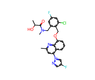 Cc1cc(-n2cc(F)cn2)c2cccc(OCc3c(Cl)cc(F)cc3CN(C)C(=O)C(C)O)c2n1